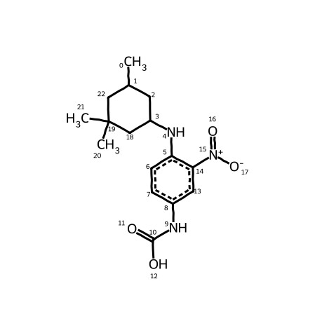 CC1CC(Nc2ccc(NC(=O)O)cc2[N+](=O)[O-])CC(C)(C)C1